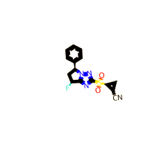 N#CC1C[C@@H]1S(=O)(=O)c1nc2n(n1)[C@H](c1ccccc1)C[C@@H]2F